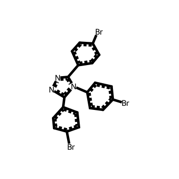 Brc1ccc(-c2nnc(-c3ccc(Br)cc3)n2-c2ccc(Br)cc2)cc1